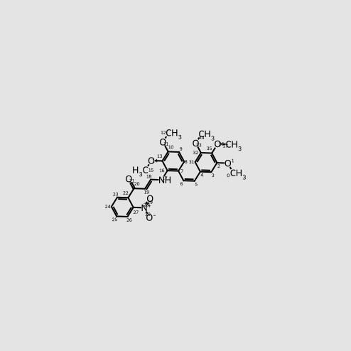 COc1cc(/C=C\c2ccc(OC)c(OC)c2NC=CC(=O)c2ccccc2[N+](=O)[O-])cc(OC)c1OC